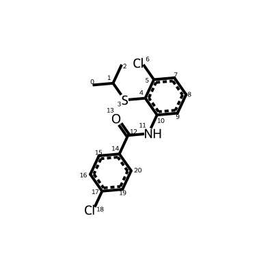 CC(C)Sc1c(Cl)cccc1NC(=O)c1ccc(Cl)cc1